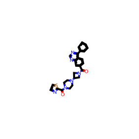 O=C(c1ccc2c(-c3ccccc3)ncnc2c1)N1CC(N2CCN(C(=O)c3nccs3)CC2)C1